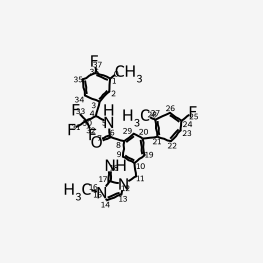 Cc1cc(C(NC(=O)c2cc(Cn3ccn(C)c3=N)cc(-c3ccc(F)cc3C)c2)C(F)(F)F)ccc1F